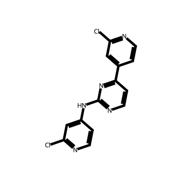 Clc1cc(Nc2nccc(-c3ccnc(Cl)c3)n2)ccn1